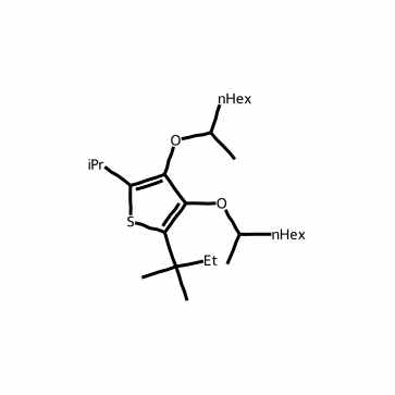 CCCCCCC(C)Oc1c(C(C)C)sc(C(C)(C)CC)c1OC(C)CCCCCC